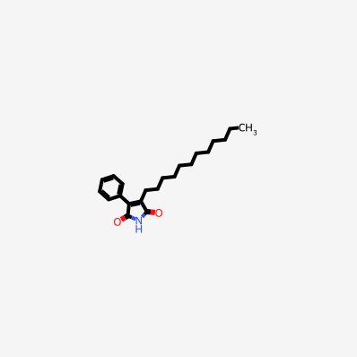 CCCCCCCCCCCCC1=C(c2ccccc2)C(=O)NC1=O